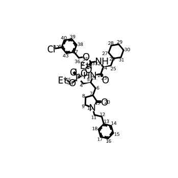 CCOP(=O)(C[C@H](CC1CCN(CCc2ccccc2)C1=O)NC(=O)[C@H](CC1CCCCC1)NC(=O)OCc1cccc(Cl)c1)OCC